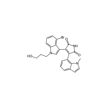 Cn1ccc2cccc(C3=C(c4cn(CCCO)c5cccc(Br)c45)C(=O)NC3=O)c21